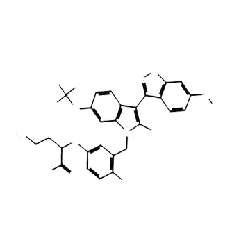 CCCC(Oc1ccc(Cl)c(Cn2c(C)c(-c3noc4cc(OC)ccc34)c3ccc(OC(F)(F)F)cc32)c1)C(=O)O